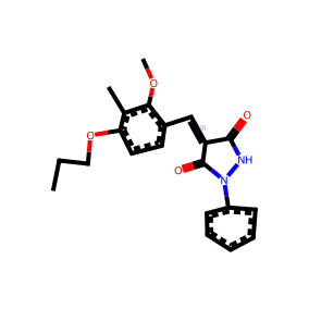 CCCOc1ccc(/C=C2/C(=O)NN(c3ccccc3)C2=O)c(OC)c1C